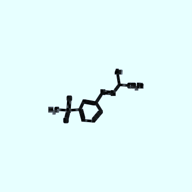 CCOC(=O)C(/N=N/c1cccc(S(C)(=O)=O)c1)C(C)=O